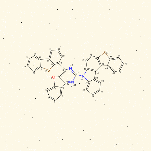 c1ccc2c(c1)oc1c(-c3cccc4c3sc3ccccc34)nc(-n3c4ccccc4c4c5c(ccc43)sc3ccccc35)nc12